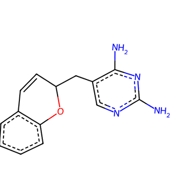 Nc1ncc(CC2C=Cc3ccccc3O2)c(N)n1